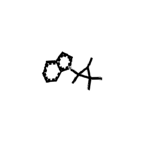 CC1C(C)(C)C1(C)n1ccc2ccccc21